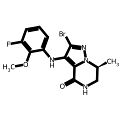 COc1c(F)cccc1Nc1c(Br)nn2c1C(=O)NC[C@@H]2C